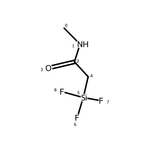 CNC(=O)C[Si](F)(F)F